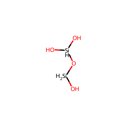 O[SiH2]O[SiH](O)O